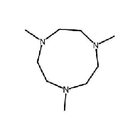 CN1CCN(C)CCN(C)CC1